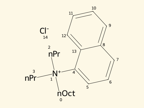 CCCCCCCC[N+](CCC)(CCC)c1cccc2ccccc12.[Cl-]